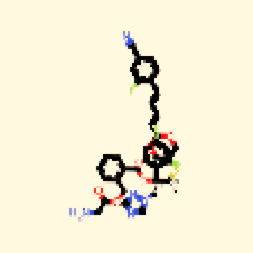 C[C@@H](S[C@H]1CO[C@H](C=CC=Cc2ccc(C#N)cc2F)OC1)[C@@](Cn1cncn1)(OC(=O)c1ccccc1COC(=O)CN)c1ccc(F)cc1F